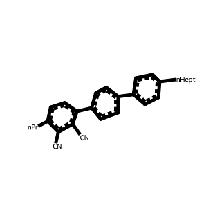 CCCCCCCc1ccc(-c2ccc(-c3ccc(CCC)c(C#N)c3C#N)cc2)cc1